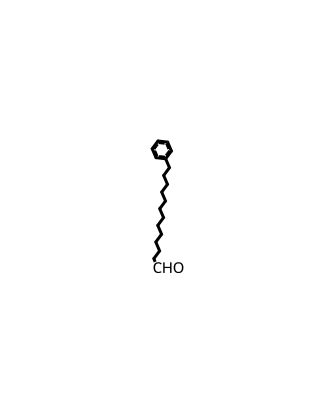 O=CCCCCCCCCCCCCc1ccccc1